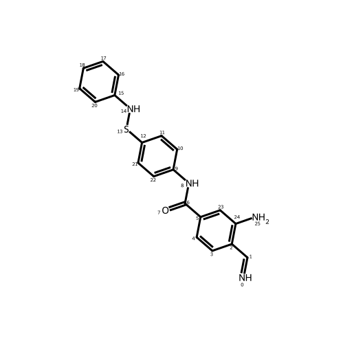 N=Cc1ccc(C(=O)Nc2ccc(SNc3ccccc3)cc2)cc1N